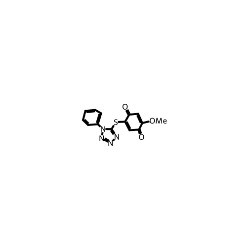 COC1=CC(=O)C(Sc2nnnn2-c2ccccc2)=CC1=O